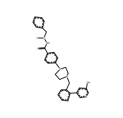 O=C(N[S+]([O-])Cc1ccccc1)c1ccc(N2CCN(Cc3ccccc3-c3cncc(O)c3)CC2)cc1